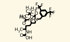 CC(CCC(CN(Cc1cc(C(F)(F)F)cc(C(F)(F)F)c1)C(=O)OC(C)(C)C)NC(=O)O)NC(=O)O